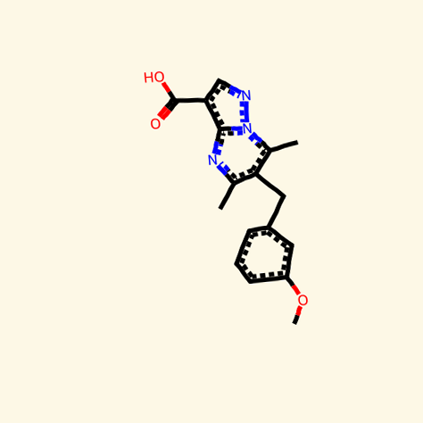 COc1cccc(Cc2c(C)nc3c(C(=O)O)cnn3c2C)c1